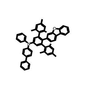 Cc1cc(C)c(-c2cc(N(c3ccccc3)c3ccc(-c4ccccc4)cc3)cc(-c3c(C)cc(C)cc3C)c2-c2ccc3c(c2)oc2ccccc23)c(C)c1